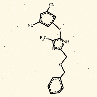 N#Cc1cc(C#N)cc(Sc2[nH]c(COCc3ccccc3)nc2C(F)(F)F)c1